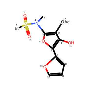 CCS(=O)(=O)N(C)c1oc(-c2ccco2)c(O)c1OC(C)=O